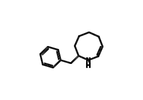 C1=CNC(Cc2ccccc2)CCCC1